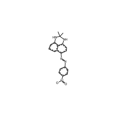 CC1(C)Nc2cccc3c(N=Nc4ccc([N+](=O)[O-])cc4)ccc(c23)N1